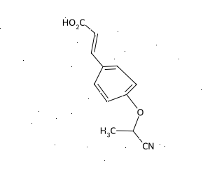 CC(C#N)Oc1ccc(C=CC(=O)O)cc1